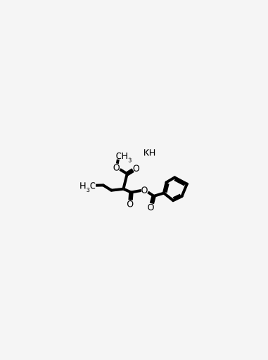 CCCC(C(=O)OC)C(=O)OC(=O)c1ccccc1.[KH]